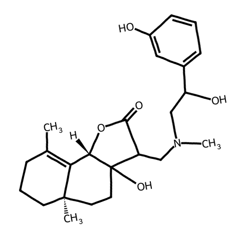 CC1=C2[C@@H]3OC(=O)C(CN(C)CC(O)c4cccc(O)c4)C3(O)CC[C@@]2(C)CCC1